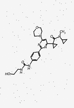 CN(C(=O)C1(c2cc(N3CCOCC3)nc(-c3ccc(NC(=O)NCCO)cc3)n2)CC1)C1CC1